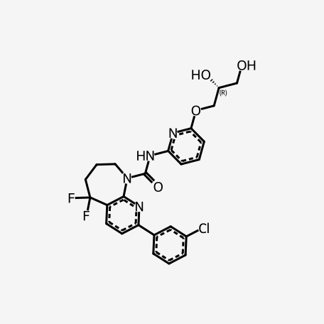 O=C(Nc1cccc(OC[C@H](O)CO)n1)N1CCCC(F)(F)c2ccc(-c3cccc(Cl)c3)nc21